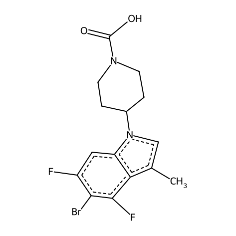 Cc1cn(C2CCN(C(=O)O)CC2)c2cc(F)c(Br)c(F)c12